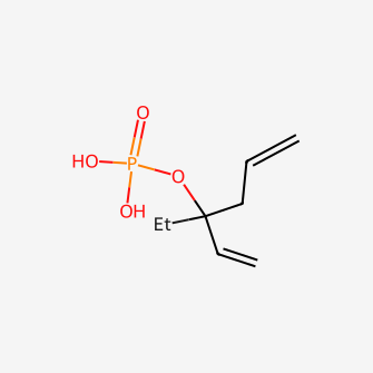 C=CCC(C=C)(CC)OP(=O)(O)O